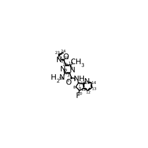 Cc1nc(C(=O)NC2CC(F)c3cccnc32)c(N)nc1-c1ncco1